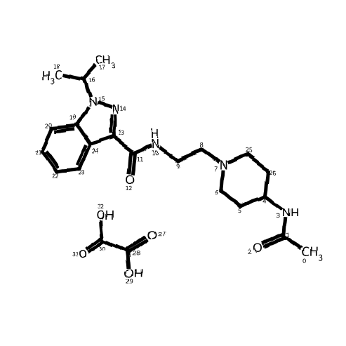 CC(=O)NC1CCN(CCNC(=O)c2nn(C(C)C)c3ccccc23)CC1.O=C(O)C(=O)O